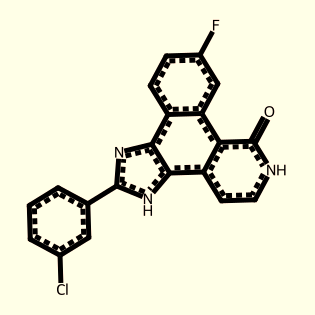 O=c1[nH]ccc2c3[nH]c(-c4cccc(Cl)c4)nc3c3ccc(F)cc3c12